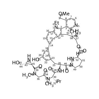 CCn1c(-c2cnccc2COC)c2c3cc(ccc31)-c1cc(O)cc(c1)C[C@H](NC(=O)[C@H](C(C)C)N(C)C(=O)CN(C)C(=O)[C@@H]1N[C@H]1CO)C(=O)N1CCC[C@H](N1)C(=O)OCC(C)(C)C2